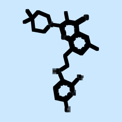 Cc1cc(CCNc2ccc(Cl)nc2Br)c2oc(N3CCC(C)(C)CC3)c(C)c(=O)c2c1